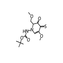 COCC1C(=O)C(=S)C(OC)=CN1NC(=O)OC(C)(C)C